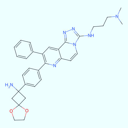 CN(C)CCCNc1nnc2c3cc(-c4ccccc4)c(-c4ccc(C5(N)CC6(C5)OCCO6)cc4)nc3ccn12